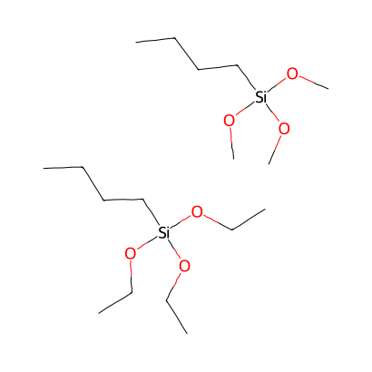 CCCC[Si](OC)(OC)OC.CCCC[Si](OCC)(OCC)OCC